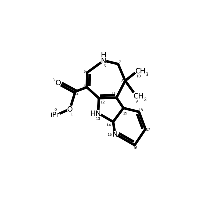 CC(C)OC(=O)C1=CNCC(C)(C)C2=C1NC1N=CC=CC21